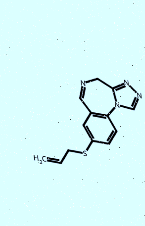 C=CCSc1ccc2c(c1)C=NCc1nncn1-2